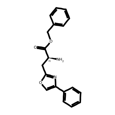 N[C@@H](Cc1nc(-c2ccccc2)co1)C(=O)OCc1ccccc1